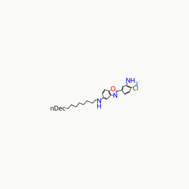 CCCCCCCCCCCCCCCCCCNc1ccc2oc(-c3ccc(Cl)c(N)c3)nc2c1